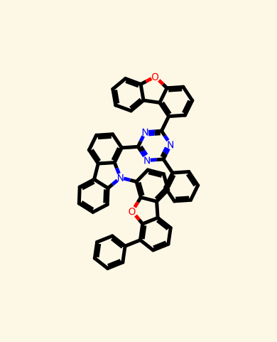 c1ccc(-c2nc(-c3cccc4oc5ccccc5c34)nc(-c3cccc4c5ccccc5n(-c5cccc6c5oc5c(-c7ccccc7)cccc56)c34)n2)cc1